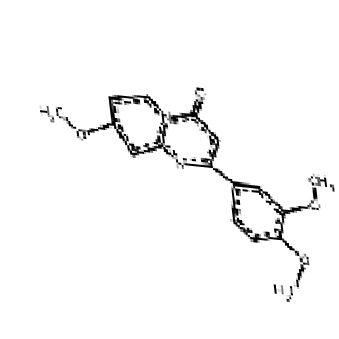 COc1ccn2c(=O)cc(-c3ccc(OC)c(OC)c3)nc2c1